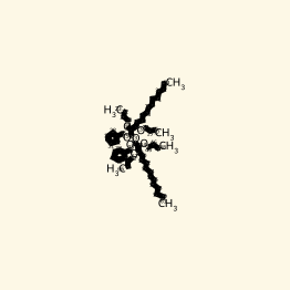 CCCCCCCCCCCCC(OCCCC)=C(OCCCC)C(OCc1ccccc1)OC(OCc1ccccc1)C(OCCCC)=C(CCCCCCCCCCCC)OCCCC